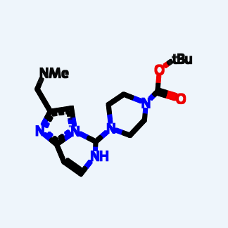 CNCc1cn2c(n1)C=CNC2N1CCN(C(=O)OC(C)(C)C)CC1